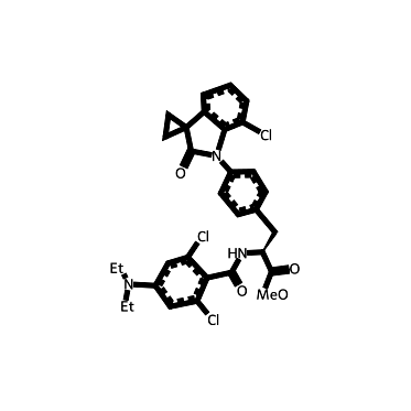 CCN(CC)c1cc(Cl)c(C(=O)N[C@@H](Cc2ccc(N3C(=O)C4(CC4)c4cccc(Cl)c43)cc2)C(=O)OC)c(Cl)c1